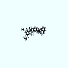 CC(=O)Nc1ccc(N)c(C(=O)Nc2cc(S(=O)(=O)N3CCCc4ccccc43)ccc2Cl)c1